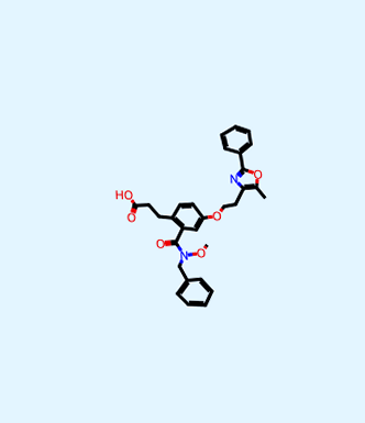 CON(Cc1ccccc1)C(=O)c1cc(OCCc2nc(-c3ccccc3)oc2C)ccc1CCC(=O)O